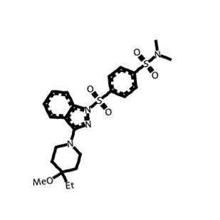 CCC1(OC)CCN(c2nn(S(=O)(=O)c3ccc(S(=O)(=O)N(C)C)cc3)c3ccccc23)CC1